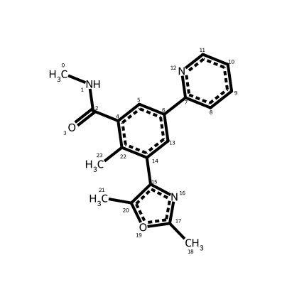 CNC(=O)c1cc(-c2ccccn2)cc(-c2nc(C)oc2C)c1C